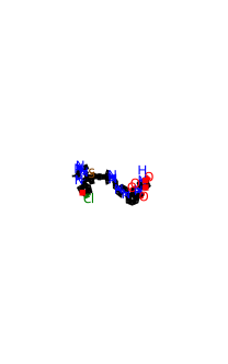 Cc1c(C#Cc2cnn(CCN3CCN(c4cccc5c4C(=O)N(C4CCC(=O)NC4=O)C5=O)CC3)c2)sc2c1C(c1ccc(Cl)cc1)=N[C@@H](C)c1nnc(C)n1-2